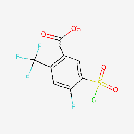 O=C(O)c1cc(S(=O)(=O)Cl)c(F)cc1C(F)(F)F